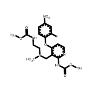 CC(C)(C)OC(=O)NCCN(Cc1c(Oc2ccc([N+](=O)[O-])cc2F)ccnc1NC(=O)OC(C)(C)C)C(=O)O